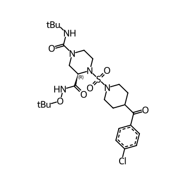 CC(C)(C)NC(=O)N1CCN(S(=O)(=O)N2CCC(C(=O)c3ccc(Cl)cc3)CC2)[C@@H](C(=O)NOC(C)(C)C)C1